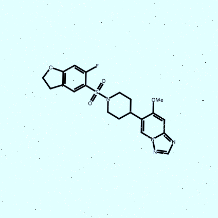 COc1cc2ncnn2cc1C1CCN(S(=O)(=O)c2cc3c(cc2F)OCC3)CC1